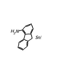 Nc1cccc2c1-c1ccccc1C2.[Sn]